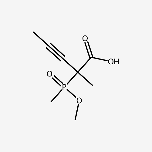 CC#CC(C)(C(=O)O)P(C)(=O)OC